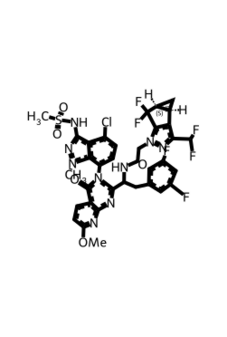 COc1ccc2c(=O)n(-c3ccc(Cl)c4c(NS(C)(=O)=O)nn(C)c34)c(C(Cc3cc(F)cc(F)c3)NC(=O)Cn3nc(C(F)F)c4c3C(F)(F)[C@H]3C[C@@H]43)nc2n1